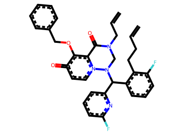 C=CCCc1c(F)cccc1C(c1cccc(F)n1)N1CN(CC=C)C(=O)c2c(OCc3ccccc3)c(=O)ccn21